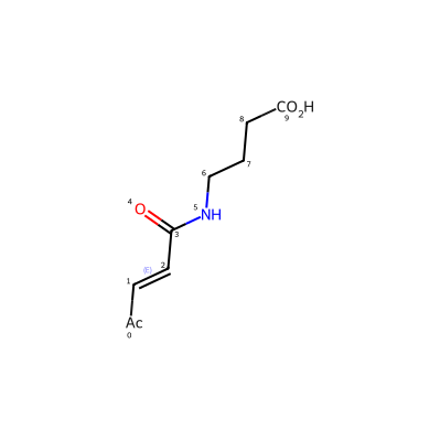 CC(=O)/C=C/C(=O)NCCCC(=O)O